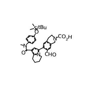 CN(C(=O)c1cc(-c2cc3c(cc2C=O)CN(C(=O)O)CC3)n2c1CCCC2)c1ccc(O[Si](C)(C)C(C)(C)C)cc1